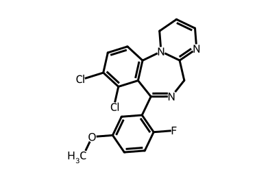 COc1ccc(F)c(C2=NCC3=NC=CCN3c3ccc(Cl)c(Cl)c32)c1